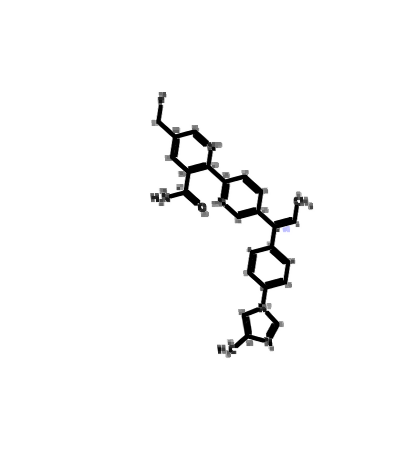 C/C=C(/c1ccc(-n2cnc(C)c2)cc1)c1ccc(-c2ncc(CF)cc2C(N)=O)nc1